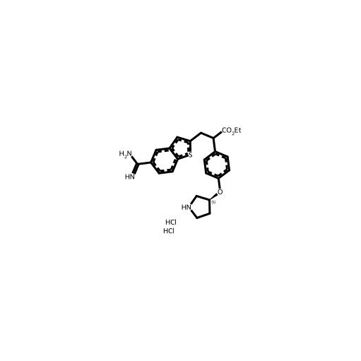 CCOC(=O)C(Cc1cc2cc(C(=N)N)ccc2s1)c1ccc(O[C@H]2CCNC2)cc1.Cl.Cl